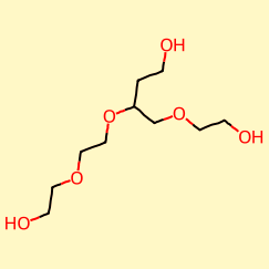 OCCOCCOC(CCO)COCCO